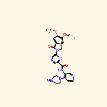 COc1cc2c(cc1OC)C(=O)N(c1cncc(C(=O)Nc3cnccc3N3CCNCC3)n1)C2